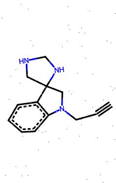 C#CCN1CC2(CNCN2)c2ccccc21